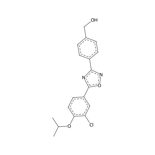 CC(C)Oc1ccc(-c2nc(-c3ccc(CO)cc3)no2)cc1Cl